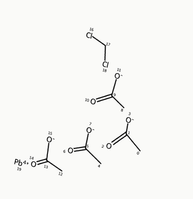 CC(=O)[O-].CC(=O)[O-].CC(=O)[O-].CC(=O)[O-].ClCCl.[Pb+4]